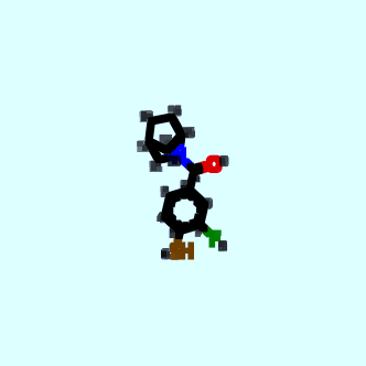 O=C(c1ccc(S)c(F)c1)N1CC2CCC1C2